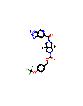 O=C(OCc1ccc(OC(F)(F)F)cc1)N1C[C@@H]2CN(C(=O)c3cc4nn[nH]c4cn3)C[C@H]2C1